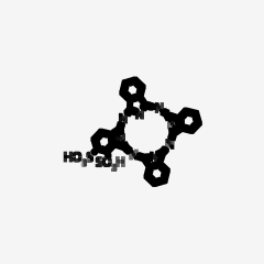 O=S(=O)(O)c1ccc2c3nc4nc(nc5[nH]c(nc6nc(nc([nH]3)c2c1S(=O)(=O)O)-c1ccccc1-6)c1ccccc51)-c1ccccc1-4